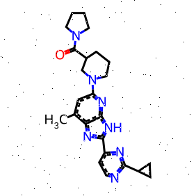 Cc1cc(N2CCCC(C(=O)N3CCCC3)C2)nc2[nH]c(-c3ccnc(C4CC4)n3)nc12